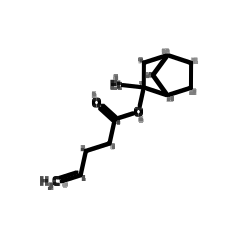 C=CCCC(=O)OC1(CC)CC2CCC1C2